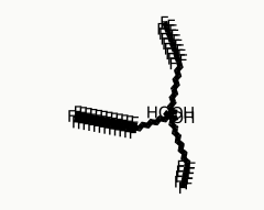 OC(CCCCCCCCCCC(F)(F)C(F)(F)C(F)(F)C(F)(F)F)C(O)(CCCCCCCC(F)(F)C(F)(F)C(F)(F)C(F)(F)C(F)(F)C(F)(F)C(F)(F)C(F)(F)C(F)(F)C(F)(F)C(F)(F)C(F)(F)F)C(O)CCCCCCCCCCC(F)(F)C(F)(F)C(F)(F)C(F)(F)C(F)(F)C(F)(F)C(F)(F)C(F)(F)F